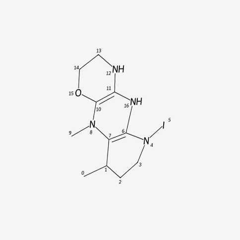 CC1CCN(I)C2=C1N(C)C1=C(NCCO1)N2